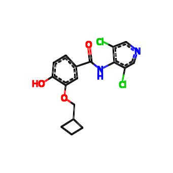 O=C(Nc1c(Cl)cncc1Cl)c1ccc(O)c(OCC2CCC2)c1